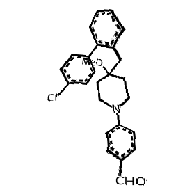 COC1(Cc2ccccc2-c2ccc(Cl)cc2)CCN(c2ccc([C]=O)cc2)CC1